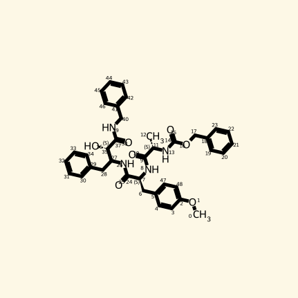 COc1ccc(C[C@H](NC(=O)[C@H](C)NC(=O)OCc2ccccc2)C(=O)NC(Cc2ccccc2)[C@H](O)C(=O)NCc2ccccc2)cc1